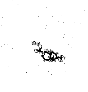 CC(C)[C@H]1CO[C@]23CCCN(C(=O)OC(C)(C)C)C[C@H]2CCC(=O)N13